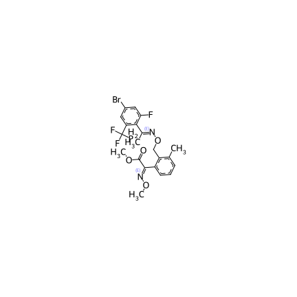 CO/N=C(/C(=O)OC)c1cccc(C)c1CO/N=C(\C)c1c(F)cc(Br)cc1C(F)(F)P